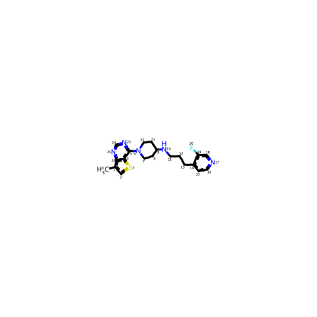 Cc1csc2c(N3CCC(NCCCc4ccncc4F)CC3)ncnc12